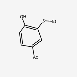 CCSc1cc(C(C)=O)ccc1O